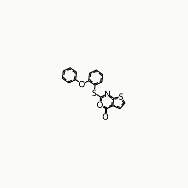 O=c1oc(Sc2ccccc2Oc2ccccc2)nc2sccc12